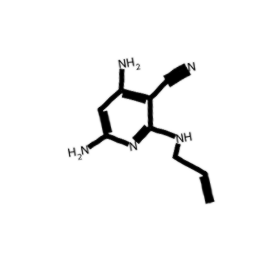 C=CCNc1nc(N)cc(N)c1C#N